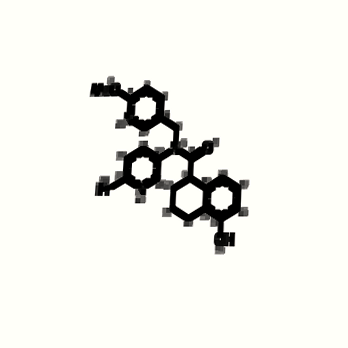 COc1ccc(CN(C(=O)C2CCCc3c(O)cccc32)c2ccc(C(C)C)nc2)cn1